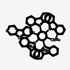 CC(C)(C)c1cccc2c3ccccc3n(-c3c(C#N)c(-n4c5ccccc5c5cccc(C(C)(C)C)c54)c(-n4c5ccccc5c5cccc(C(C)(C)C)c54)c(-c4ccc5c(c4)oc4cnccc45)c3-n3c4ccccc4c4cccc(C(C)(C)C)c43)c12